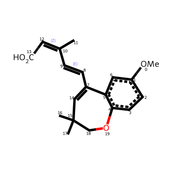 COc1ccc2c(c1)C(/C=C/C(C)=C\C(=O)O)=CC(C)(C)CO2